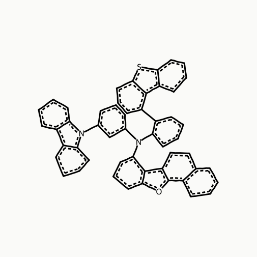 c1cc(N(c2ccccc2-c2cccc3sc4ccccc4c23)c2cccc3oc4c5ccccc5ccc4c23)cc(-n2c3ccccc3c3ccccc32)c1